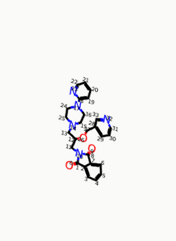 O=C1c2ccccc2C(=O)N1CC(CN1CCN(c2ccccn2)CC1)OCc1cccnc1